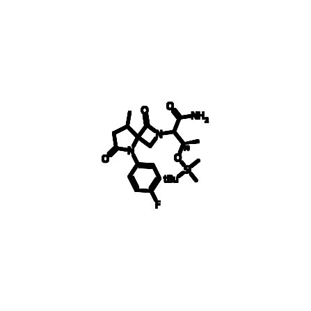 CC1CC(=O)N(c2ccc(F)cc2)C12CN(C(C(N)=O)[C@@H](C)O[Si](C)(C)C(C)(C)C)C2=O